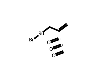 C=C[CH2][Ru][Br].[C]=O.[C]=O.[C]=O